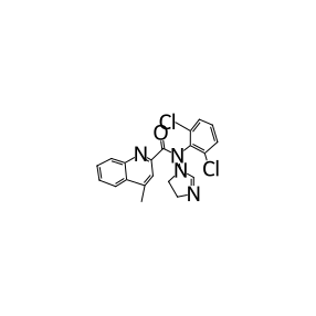 Cc1cc(C(=O)N(c2c(Cl)cccc2Cl)N2C=NCC2)nc2ccccc12